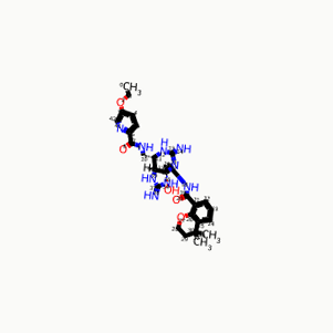 CCOc1ccc(C(=O)NC[C@@H]2NC(=N)N3CC(NC(=O)c4cccc5c4OCCC5(C)C)[C@@H](O)[C@@]34NC(=N)N[C@@H]24)nc1